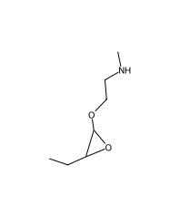 CCC1OC1OCCNC